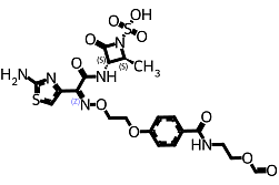 C[C@H]1[C@H](NC(=O)/C(=N\OCCOc2ccc(C(=O)NCCOC=O)cc2)c2csc(N)n2)C(=O)N1S(=O)(=O)O